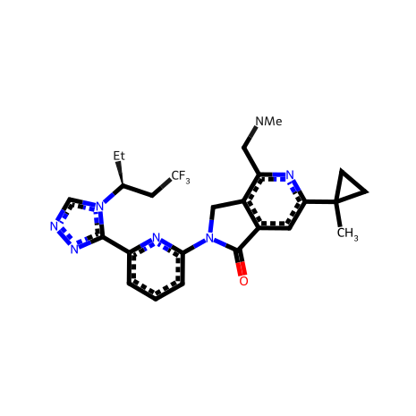 CC[C@@H](CC(F)(F)F)n1cnnc1-c1cccc(N2Cc3c(cc(C4(C)CC4)nc3CNC)C2=O)n1